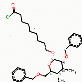 C[C@H]1[C@H](C)[C@@H](COCc2ccccc2)O[C@H](OCCCCCCCCC(=O)Cl)[C@@H]1OCc1ccccc1